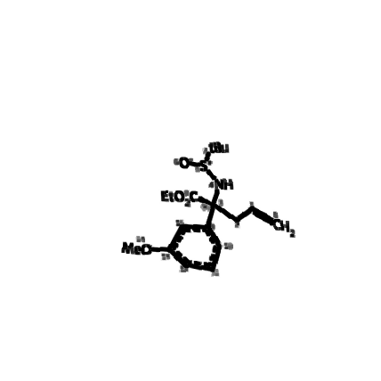 C=CC[C@](N[S+]([O-])C(C)(C)C)(C(=O)OCC)c1cccc(OC)c1